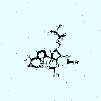 CC(C)C(=O)O[C@H]1[C@@H](OC(=O)C(C)C)[C@](C)(c2ccc3c(N)ncnn23)O[C@@H]1COC(=O)[C@@H](N)C(C)C